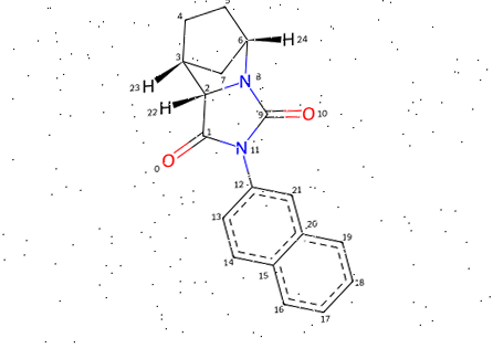 O=C1[C@@H]2[C@@H]3CC[C@@H](C3)N2C(=O)N1c1ccc2ccccc2c1